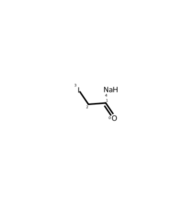 O=CCI.[NaH]